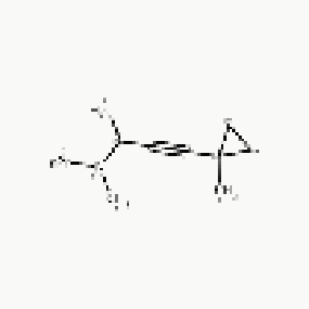 CCCN(C)C(C)C#CC1(C)CC1